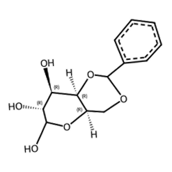 OC1O[C@@H]2COC(c3ccccc3)O[C@@H]2[C@H](O)[C@H]1O